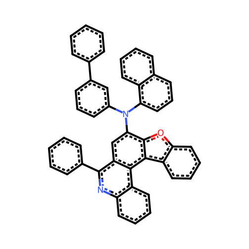 c1ccc(-c2cccc(N(c3cccc4ccccc34)c3cc4c(-c5ccccc5)nc5ccccc5c4c4c3oc3ccccc34)c2)cc1